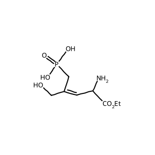 CCOC(=O)C(N)/C=C(/CO)CP(=O)(O)O